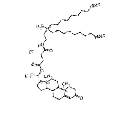 CCCCCCCCCCCCCCCCCC[N+](C)(CCCCCCCCCCCCCCCCCC)CCNC(=O)CCC(=O)OC(C)[C@H]1CCC2C3CCC4=CC(=O)CC[C@]4(C)C3CC[C@@]21C.[Cl-]